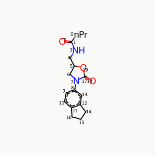 CCCC(=O)NCC1CN(c2ccc3c(c2)CCC3)C(=O)O1